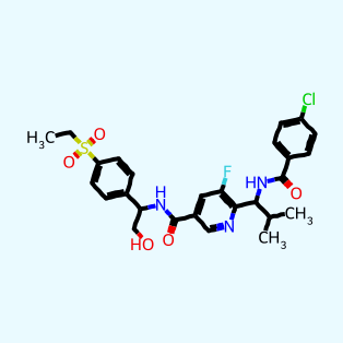 CCS(=O)(=O)c1ccc(C(CO)NC(=O)c2cnc(C(NC(=O)c3ccc(Cl)cc3)C(C)C)c(F)c2)cc1